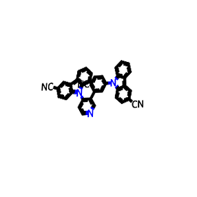 N#Cc1ccc2c(c1)c1ccccc1n2-c1ccc(C#N)c(-c2cnccc2-n2c3ccccc3c3cc(C#N)ccc32)c1